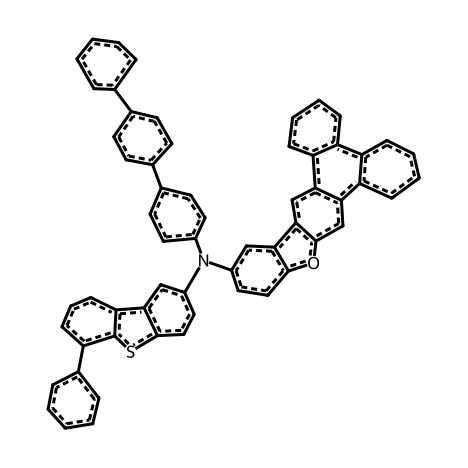 c1ccc(-c2ccc(-c3ccc(N(c4ccc5oc6cc7c8ccccc8c8ccccc8c7cc6c5c4)c4ccc5sc6c(-c7ccccc7)cccc6c5c4)cc3)cc2)cc1